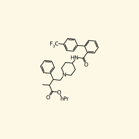 CCCOC(=O)C(C)C(CN1CCC(NC(=O)c2ccccc2-c2ccc(C(F)(F)F)cc2)CC1)c1ccccc1